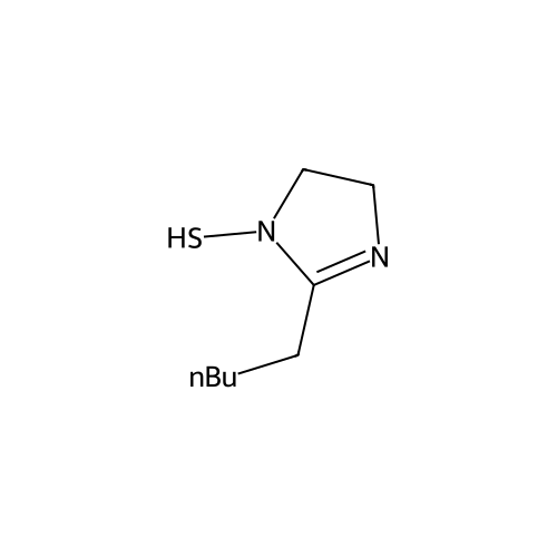 CCCCCC1=NCCN1S